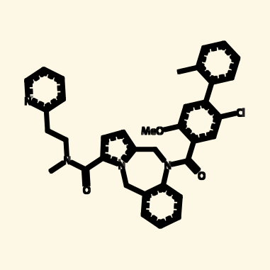 COc1cc(-c2ccccc2C)c(Cl)cc1C(=O)N1Cc2ccc(C(=O)N(C)CCc3ccccn3)n2Cc2ccccc21